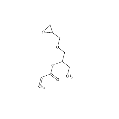 C=CC(=O)OC(CC)COCC1CO1